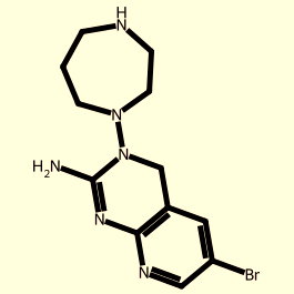 NC1=Nc2ncc(Br)cc2CN1N1CCCNCC1